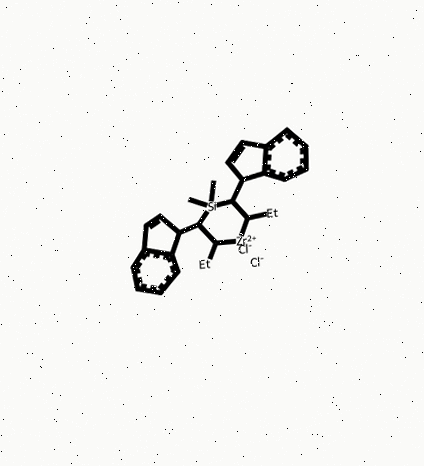 CC[CH]1[Zr+2][CH](CC)C(C2C=Cc3ccccc32)[Si](C)(C)C1C1C=Cc2ccccc21.[Cl-].[Cl-]